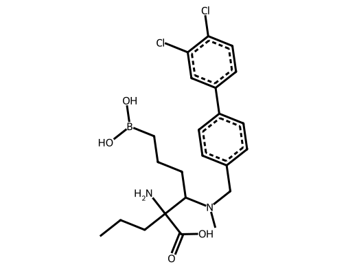 CCCC(N)(C(=O)O)C(CCCB(O)O)N(C)Cc1ccc(-c2ccc(Cl)c(Cl)c2)cc1